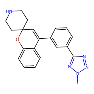 Cn1nnc(-c2cccc(C3=CC4(CCNCC4)Oc4ccccc43)c2)n1